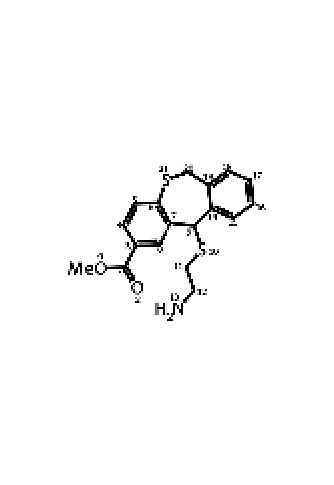 COC(=O)c1ccc2c(c1)C(SCCN)c1ccccc1CS2